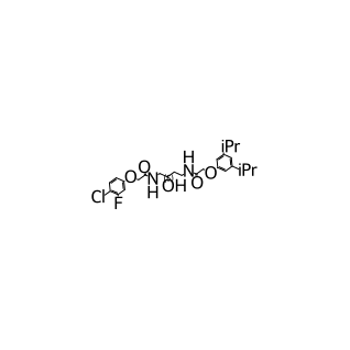 CC(C)c1cc(OCC(=O)NCC[C@H](O)CNC(=O)COc2ccc(Cl)c(F)c2)cc(C(C)C)c1